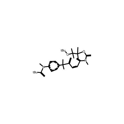 C=C(/C=C\C(=C)C(C)(C)c1ccc(N(C)C(=C)C(C)(C)C)cc1)N(C)C(=C)OC(C)(C)C(C)(C)OC(C)(C)C